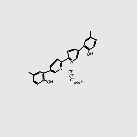 Cc1ccc(O)c(-c2ccc(-c3ccc(-c4cc(C)ccc4O)cn3)nc2)c1.[Cl-].[Cl-].[Cl-].[Mn+3]